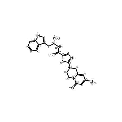 CCCCC(Cc1c[nH]c2ccccc12)NC(=O)c1cnc(N2CCn3c(cc(C(F)(F)F)cc3=O)C2)s1